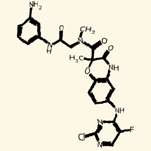 CN(CC(=O)Nc1cccc(N)c1)C(=O)C1(C)Oc2ccc(Nc3nc(Cl)ncc3F)cc2NC1=O